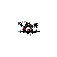 CNCCCC[C@@H]1NC(=O)[C@@H](CCCCNC(=O)c2cccnc2)NC(=O)[C@H](Cc2ccc(O)cc2)NC(=O)[C@H](NC(=O)[C@@H](N)Cc2ccc(Cl)cc2)CSSCC2(C(=O)NC(Cc3ccc(O)cc3)C(N)=O)C[C@@H](O)[C@H](NC1=O)C(=O)N2